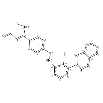 C=C/C=C(\NC)c1ccc(CNc2ncnc(-c3ccc4ccccc4c3)c2F)cc1